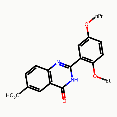 CCCOc1ccc(OCC)c(-c2nc3ccc(C(=O)O)cc3c(=O)[nH]2)c1